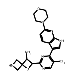 NC1C(c2ncc(C(F)(F)F)c(-c3c[nH]c4nc(N5CCOCC5)ccc34)n2)OC12CNC2